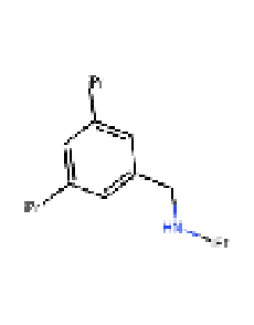 CC(C)NCc1cc(C(C)C)cc(C(C)C)c1